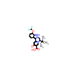 CC(C)(C)C1CN2NC3C(OC(F)F)=CC=CC3=C2c2cc(=O)c(C(=O)O)cn21